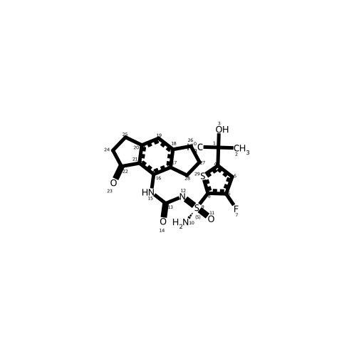 CC(C)(O)c1cc(F)c([S@@](N)(=O)=NC(=O)Nc2c3c(cc4c2C(=O)CC4)CCC3)s1